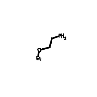 CCOCCP